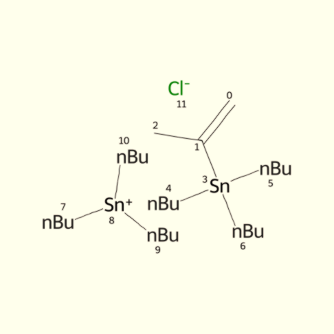 C=[C](C)[Sn]([CH2]CCC)([CH2]CCC)[CH2]CCC.CCC[CH2][Sn+]([CH2]CCC)[CH2]CCC.[Cl-]